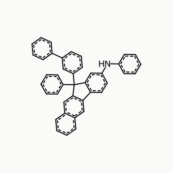 c1ccc(Nc2ccc3c(c2)C(c2ccccc2)(c2cccc(-c4ccccc4)c2)c2cc4ccccc4cc2-3)cc1